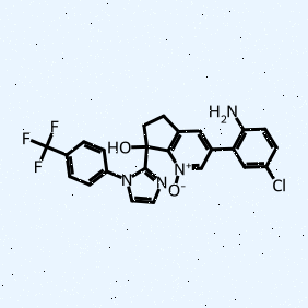 Nc1ccc(Cl)cc1-c1cc2c([n+]([O-])c1)C(O)(c1nccn1-c1ccc(C(F)(F)F)cc1)CC2